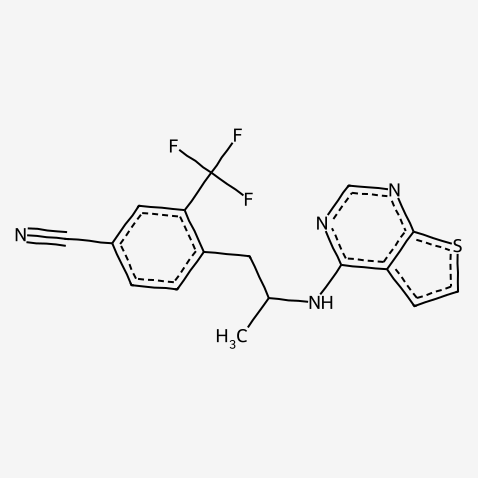 CC(Cc1ccc(C#N)cc1C(F)(F)F)Nc1ncnc2sccc12